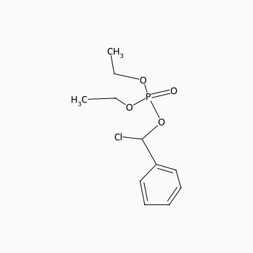 CCOP(=O)(OCC)OC(Cl)c1ccccc1